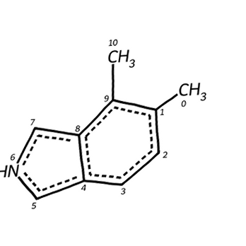 Cc1ccc2c[nH]cc2c1C